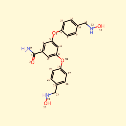 NC(=O)c1cc(Oc2ccc(CNO)cc2)cc(Oc2ccc(CNO)cc2)c1